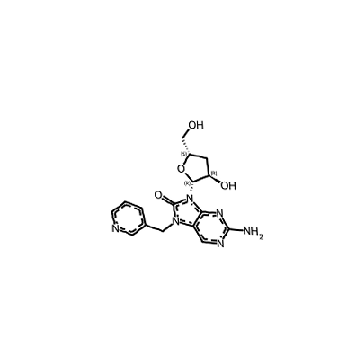 Nc1ncc2c(n1)n([C@@H]1O[C@H](CO)C[C@H]1O)c(=O)n2Cc1cccnc1